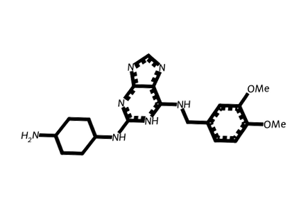 COc1ccc(CNc2[nH]c(NC3CCC(N)CC3)nc3ncnc2-3)cc1OC